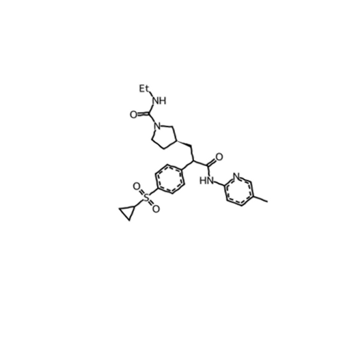 CCNC(=O)N1CC[C@H](CC(C(=O)Nc2ccc(C)cn2)c2ccc(S(=O)(=O)C3CC3)cc2)C1